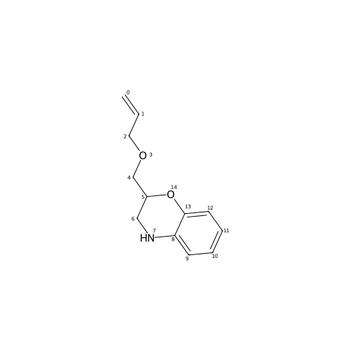 C=CCOCC1CNc2ccccc2O1